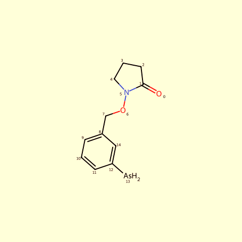 O=C1CCCN1OCc1cccc([AsH2])c1